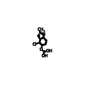 Cn1cc2c(Cl)c(OB(O)O)ccc2n1